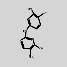 Nc1cnc(Nc2ccc(O)c(O)c2)nc1O